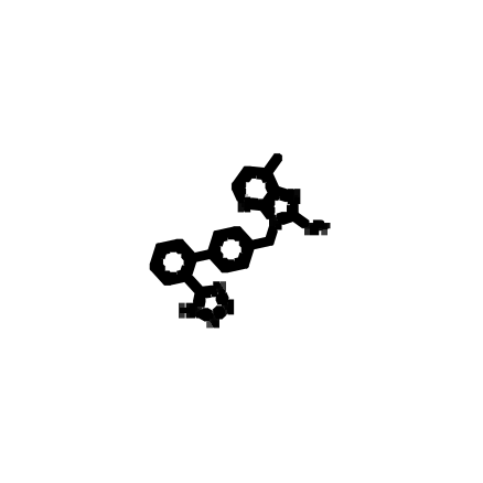 CCCc1nc2c(C)ccnc2n1Cc1ccc(-c2ccccc2-c2nnn[nH]2)cc1